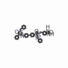 O=C1/C(=C/c2ccccc2)S/C(=N\c2ccc(-c3ccc(N4C(=O)/C(=C/c5ccc6[nH]c(=O)[nH]c6c5)S/C4=N\c4ccccc4)cc3)cc2)N1c1ccccc1